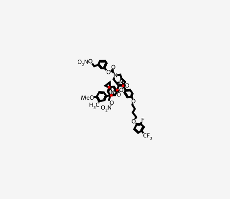 COc1ccc(CN(C(=O)C2=C(c3ccc(OCCCCOc4ccc(C(F)(F)F)cc4F)cc3)CC3CN(C(=O)Oc4cccc(CO[N+](=O)[O-])c4)CC2N3C(=O)Oc2cccc(CO[N+](=O)[O-])c2)C2CC2)cc1C